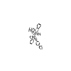 O=C(NC1Cc2ccccc2C1O)c1cn(-c2ccc(Cl)cc2)c(-c2ccccc2Cl)n1